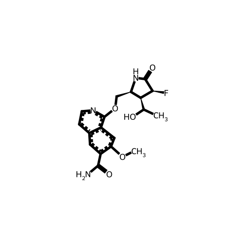 COc1cc2c(OC[C@H]3NC(=O)[C@@H](F)[C@H]3C(C)O)nccc2cc1C(N)=O